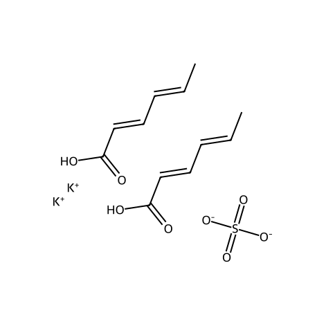 CC=CC=CC(=O)O.CC=CC=CC(=O)O.O=S(=O)([O-])[O-].[K+].[K+]